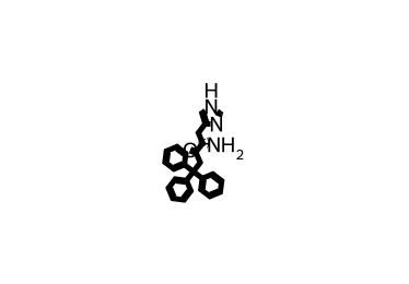 N[C@@H](Cc1c[nH]cn1)C(=O)CC(c1ccccc1)(c1ccccc1)c1ccccc1